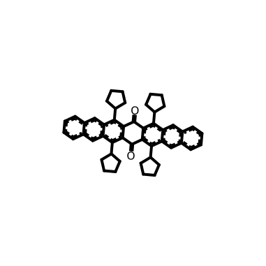 O=C1c2c(c(C3CCCC3)c3cc4ccccc4cc3c2C2CCCC2)C(=O)c2c1c(C1CCCC1)c1cc3ccccc3cc1c2C1CCCC1